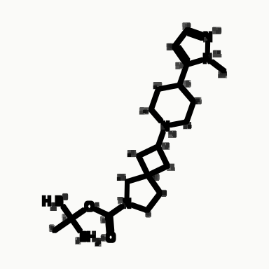 BC(B)(C)OC(=O)N1CCC2(CC(N3CCC(c4ccnn4C)CC3)C2)C1